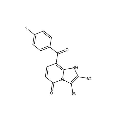 CCc1[nH]c2c(C(=O)c3ccc(F)cc3)ccc(=O)n2c1CC